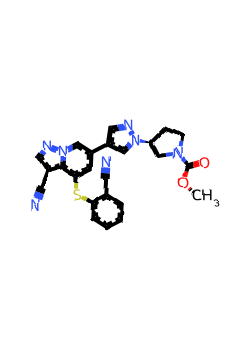 COC(=O)N1CC[C@H](n2cc(-c3cc(Sc4ccccc4C#N)c4c(C#N)cnn4c3)cn2)C1